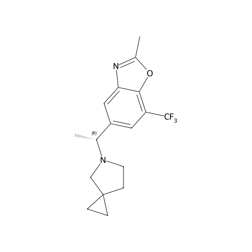 Cc1nc2cc([C@@H](C)N3CCC4(CC4)C3)cc(C(F)(F)F)c2o1